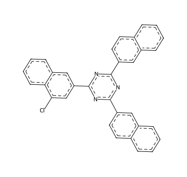 Clc1cc(-c2nc(-c3ccc4ccccc4c3)nc(-c3ccc4ccccc4c3)n2)cc2ccccc12